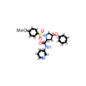 COc1ccc(S(=O)(=O)N2CC(Oc3ccccc3)CC2C(=O)Nc2cccnc2)cc1